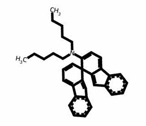 CCCCCN(CCCCC)C1=CC=C2C(=Cc3ccccc32)C12C=CC=C1C2=Cc2ccccc21